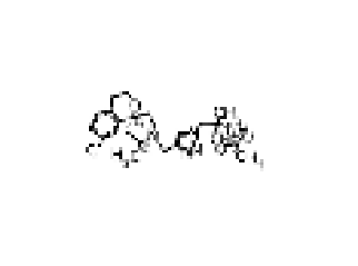 C[C@H]1C[C@@]2(CCN1Cc1cn(CC(C)(C)NS(C)(=O)=O)nn1)OCCc1ccc(Cl)cc12